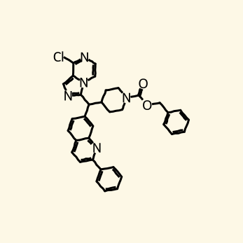 O=C(OCc1ccccc1)N1CCC(C(c2ccc3ccc(-c4ccccc4)nc3c2)c2ncc3c(Cl)nccn23)CC1